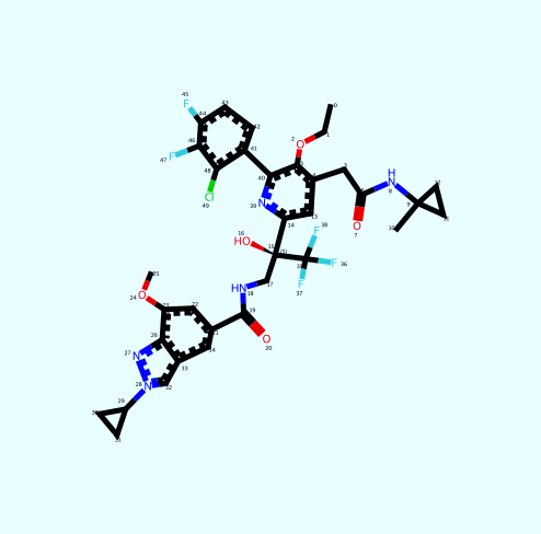 CCOc1c(CC(=O)NC2(C)CC2)cc([C@@](O)(CNC(=O)c2cc(OC)c3nn(C4CC4)cc3c2)C(F)(F)F)nc1-c1ccc(F)c(F)c1Cl